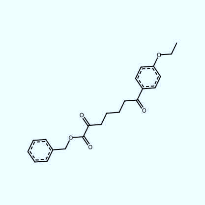 CCOc1ccc(C(=O)CCCCC(=O)C(=O)OCc2ccccc2)cc1